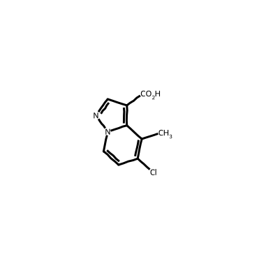 Cc1c(Cl)ccn2ncc(C(=O)O)c12